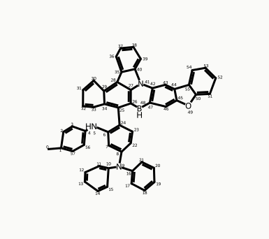 Cc1ccc(Nc2cc(N(c3ccccc3)c3ccccc3)ccc2-c2c3c4c(c5ccccc25)c2ccccc2n4-c2cc4c(cc2B3)oc2ccccc24)cc1